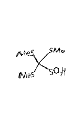 CSC(SC)(SC)S(=O)(=O)O